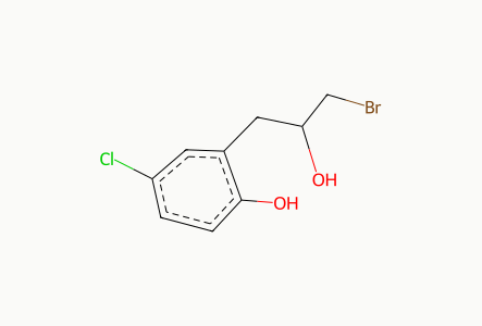 Oc1ccc(Cl)cc1CC(O)CBr